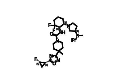 CC(C)N(C)[C@@H]1CCN([C@H]2CCCC(F)(F)[C@@H]2NC(=O)N2CCC(C)(c3noc([C@@H]4C[C@@H]4F)n3)CC2)C1